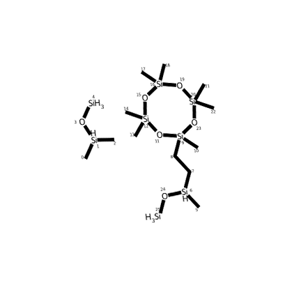 C[SiH](C)O[SiH3].C[SiH](CC[Si]1(C)O[Si](C)(C)O[Si](C)(C)O[Si](C)(C)O1)O[SiH3]